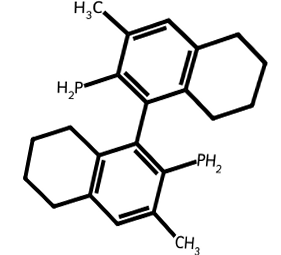 Cc1cc2c(c(-c3c(P)c(C)cc4c3CCCC4)c1P)CCCC2